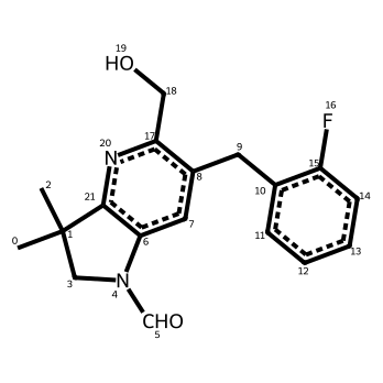 CC1(C)CN(C=O)c2cc(Cc3ccccc3F)c(CO)nc21